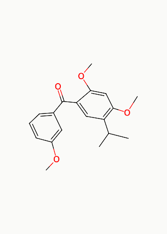 COc1cccc(C(=O)c2cc(C(C)C)c(OC)cc2OC)c1